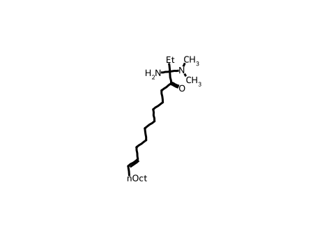 CCCCCCCCC=CCCCCCCCC(=O)C(N)(CC)N(C)C